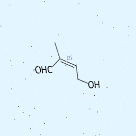 C/C([C]=O)=C/CO